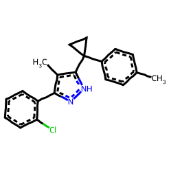 Cc1ccc(C2(c3[nH]nc(-c4ccccc4Cl)c3C)CC2)cc1